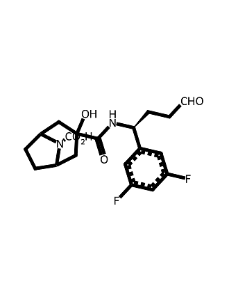 O=CCC[C@H](NC(=O)C1(O)CC2CCC(C1)N2C(=O)O)c1cc(F)cc(F)c1